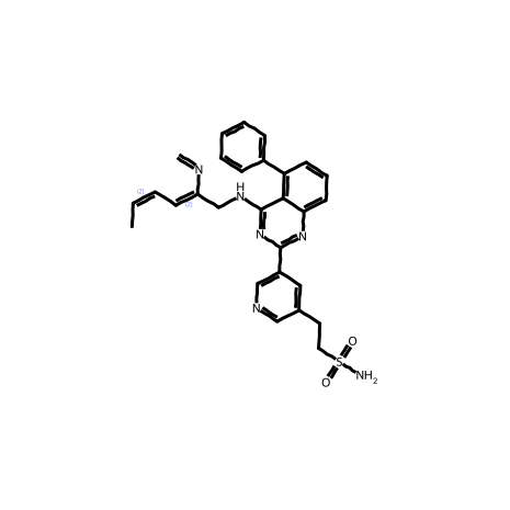 C=N/C(=C\C=C/C)CNc1nc(-c2cncc(CCS(N)(=O)=O)c2)nc2cccc(-c3ccccc3)c12